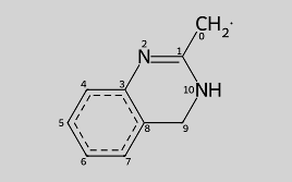 [CH2]C1=Nc2ccccc2CN1